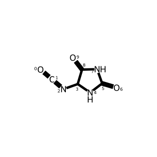 O=C=NC1NC(=O)NC1=O